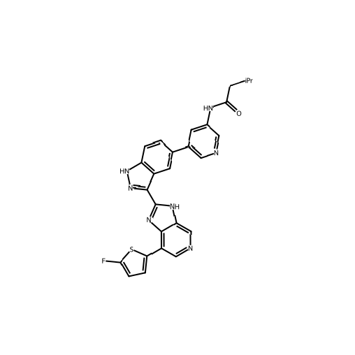 CC(C)CC(=O)Nc1cncc(-c2ccc3[nH]nc(-c4nc5c(-c6ccc(F)s6)cncc5[nH]4)c3c2)c1